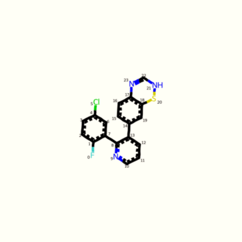 Fc1ccc(Cl)cc1-c1ncccc1-c1ccc2c(c1)SNC=N2